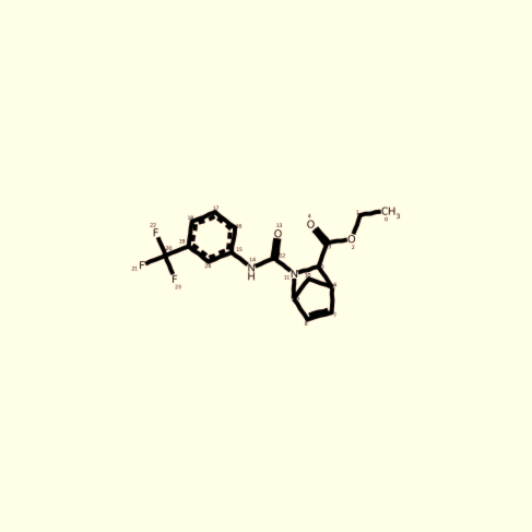 CCOC(=O)C1C2C=CC(C2)N1C(=O)Nc1cccc(C(F)(F)F)c1